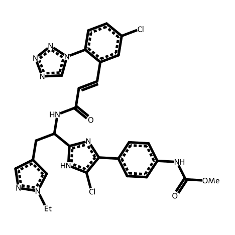 CCn1cc(CC(NC(=O)C=Cc2cc(Cl)ccc2-n2cnnn2)c2nc(-c3ccc(NC(=O)OC)cc3)c(Cl)[nH]2)cn1